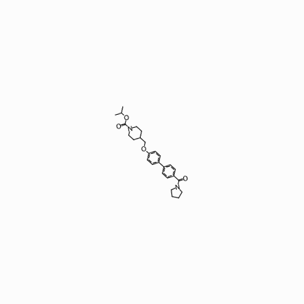 CC(C)OC(=O)N1CCC(COc2ccc(-c3ccc(C(=O)N4CCCC4)cc3)cc2)CC1